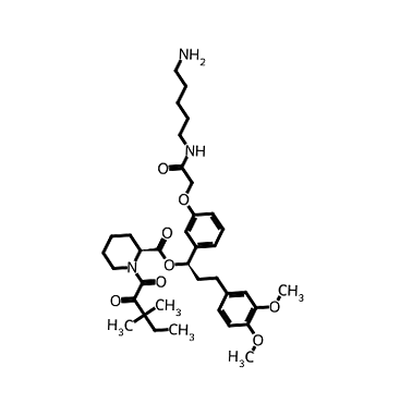 CCC(C)(C)C(=O)C(=O)N1CCCC[C@H]1C(=O)O[C@H](CCc1ccc(OC)c(OC)c1)c1cccc(OCC(=O)NCCCCCN)c1